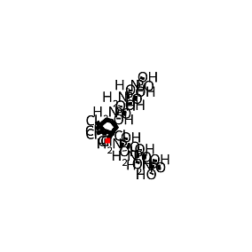 ClC1(Cl)CCCC(Cl)(Cl)C1(Cl)Cl.NP(=O)(O)O.NP(=O)(O)O.NP(=O)(O)O.NP(=O)(O)O.NP(=O)(O)O.NP(=O)(O)O